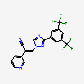 N#CC(=Cn1cnc(-c2cc(C(F)(F)F)cc(C(F)(F)F)c2)n1)c1cccnc1